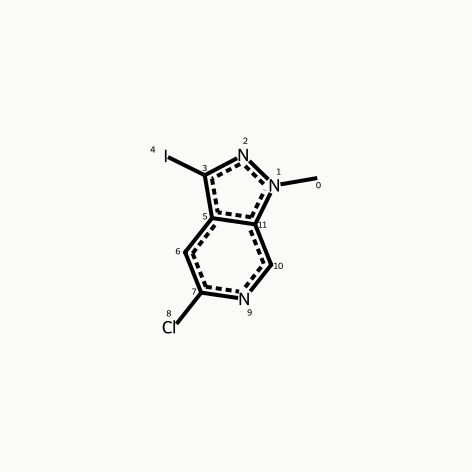 Cn1nc(I)c2cc(Cl)ncc21